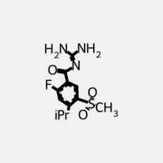 CC(C)c1cc(F)c(C(=O)N=C(N)N)cc1S(C)(=O)=O